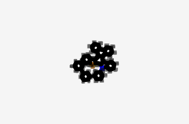 c1ccc(-c2cccc(-c3cccc(-n4c5ccccc5c5c6c7ccccc7c7ccccc7c6c6c7ccccc7sc6c54)c3)c2)cc1